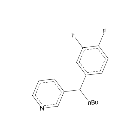 CCCCC(c1cccnc1)c1ccc(F)c(F)c1